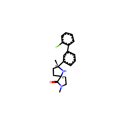 CN1CC[C@@]2(CC[C@](C)(c3cccc(-c4ccccc4F)c3)N2)C1=O